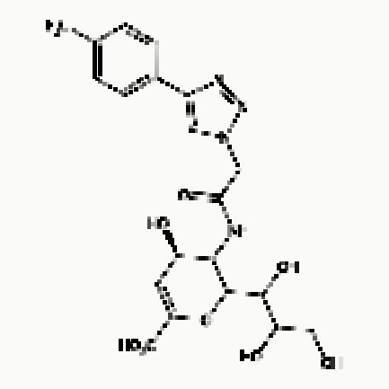 O=C(Cn1cc(-c2ccc(C(F)(F)F)cc2)nn1)NC1C(C(O)C(O)CO)OC(C(=O)O)=C[C@H]1O